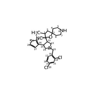 CC1CC2(CCNCC2)OC1(C#N)C1CN(Cc2ccc(Cl)cc2Cl)CC1c1ccsc1